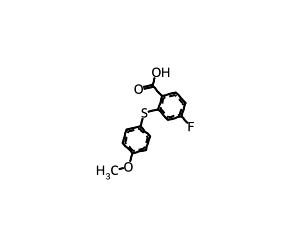 COc1ccc(Sc2cc(F)ccc2C(=O)O)cc1